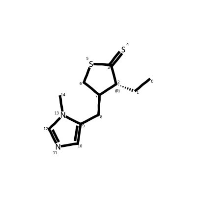 CC[C@H]1C(=S)SCC1Cc1cncn1C